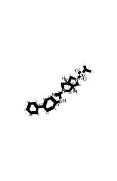 CC(C)S(=O)(=O)N1C[C@H]2CN(c3nc4cc(-c5ccccc5)ccc4[nH]3)C[C@H]2C1